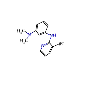 CC(C)c1cccnc1Nc1cccc(N(C)C)c1